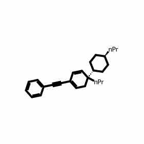 CCCC1([C@H]2CC[C@H](CCC)CC2)C=CC(C#Cc2ccccc2)=CC1